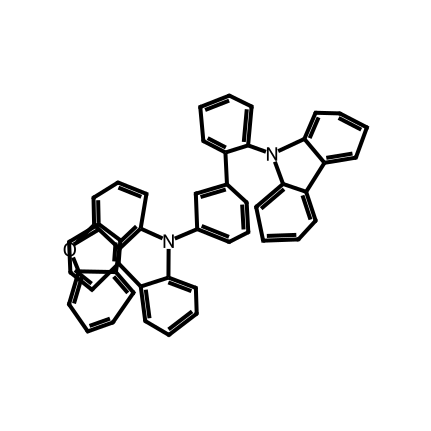 c1ccc(-c2ccccc2N(c2cccc(-c3ccccc3-n3c4ccccc4c4ccccc43)c2)c2cccc3oc4ccccc4c23)cc1